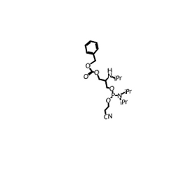 CC(C)NC(COC(=O)OCc1ccccc1)COP(OCCC#N)N(C(C)C)C(C)C